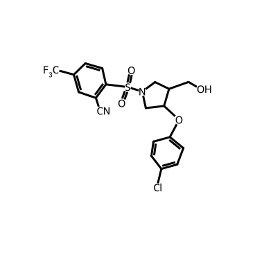 N#Cc1cc(C(F)(F)F)ccc1S(=O)(=O)N1CC(CO)C(Oc2ccc(Cl)cc2)C1